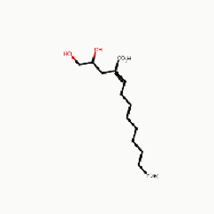 CCCCCCCCCCCCCCCCCC=C(CC(O)CO)C(=O)O